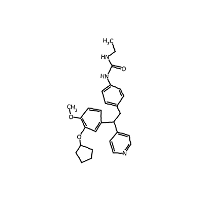 CCNC(=O)Nc1ccc(CC(c2ccncc2)c2ccc(OC)c(OC3CCCC3)c2)cc1